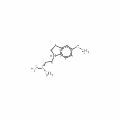 COc1ccc2c(c1)CCN2CCN(C)C